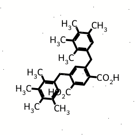 Cc1cc(Cc2cc(Cc3cc(C)c(C)c(C)c3C)c(C(=O)O)cc2C(=O)O)c(C)c(C)c1C